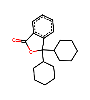 O=C1OC(C2CCCCC2)(C2CCCCC2)c2ccccc21